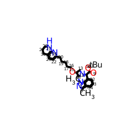 Cc1nn(C)c2c(C(C(=O)OC(C)(C)C)N3CC(OCCCCCc4ccc5c(n4)NCCC5)C3)cccc12